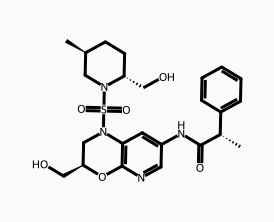 C[C@H]1CC[C@H](CO)N(S(=O)(=O)N2C[C@H](CO)Oc3ncc(NC(=O)[C@@H](C)c4ccccc4)cc32)C1